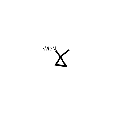 C[N]C1(C)CC1